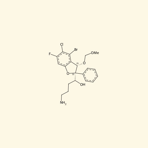 COCO[C@H]1c2c(cc(F)c(Cl)c2Br)O[C@@]1(c1ccccc1)C(O)CCCN